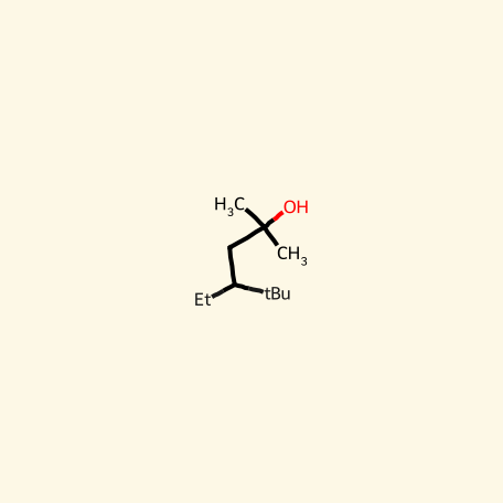 CCC(CC(C)(C)O)C(C)(C)C